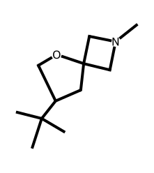 CN1CC2(CC(C(C)(C)C)CO2)C1